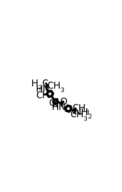 CC(C)Nc1ccc(-c2cc(C(=O)Nc3ccc(C(C)(C)N)cc3)no2)cc1Cl